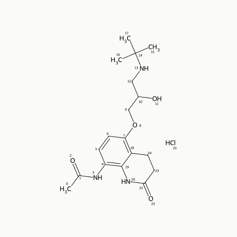 CC(=O)Nc1ccc(OCC(O)CNC(C)(C)C)c2c1NC(=O)CC2.Cl